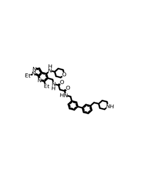 CCc1nc2c(cnn2CC)c(NC2CCOCC2)c1CNC(=O)CC(=O)NCc1cccc(-c2cccc(CC3CCNCC3)c2)c1